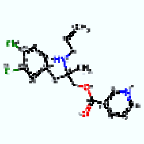 C=CCNC(C)([CH]OC(=O)c1cccnc1)Cc1ccc(Cl)c(Cl)c1